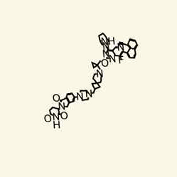 C#Cc1cccc2cccc(-c3ncc4c(N5CC6CCC(C5)N6)nc(OCC5(CN6CCC7(CC6)CC(CN6CCN(c8ccc9c(c8)CN([C@H]8CCC(=O)NC8=O)C9=O)CC6)C7)CC5)nc4c3F)c12